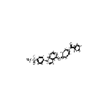 CS(=O)(=O)c1ccc(-n2ncc3c(OC4CCN(C(=O)C5=CCCO5)CC4)ncnc32)cc1